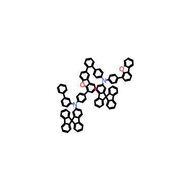 c1ccc(-c2cccc(N(c3ccc(-c4cccc5c4oc4ccc(-c6ccccc6-c6ccc(N(c7ccc(-c8cccc9c8oc8ccccc89)cc7)c7ccc8c(c7)C7(c9ccccc9-c9ccccc97)c7ccccc7-8)cc6)cc45)cc3)c3ccc4c(c3)C3(c5ccccc5-c5ccccc53)c3ccccc3-4)c2)cc1